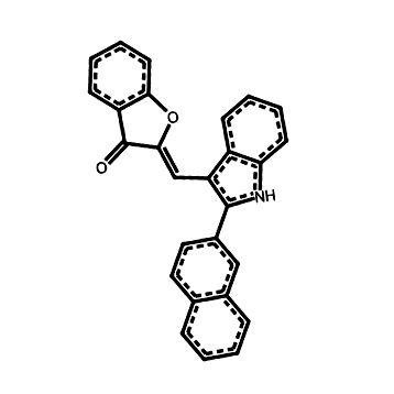 O=C1C(=Cc2c(-c3ccc4ccccc4c3)[nH]c3ccccc23)Oc2ccccc21